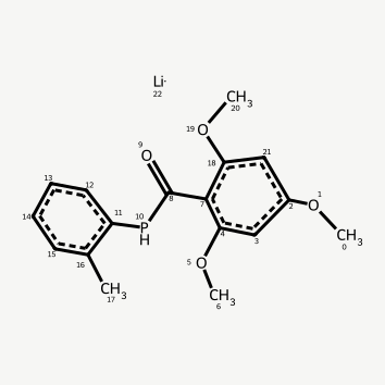 COc1cc(OC)c(C(=O)Pc2ccccc2C)c(OC)c1.[Li]